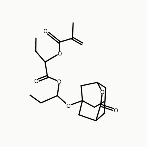 C=C(C)C(=O)OC(CC)C(=O)OC(CC)OC12CC3CC(C1)OC(=O)C(C3)C2